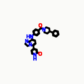 O=C(c1ccc(NC2=CC=C(c3cc[nH]c(=O)c3)N3CCN=C23)cc1)N1CCC(c2ccccc2)CC1